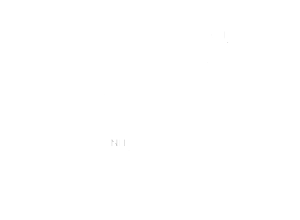 C=C1/C=C\C2=C(C=CCC2)C=C(C(N)c2ccccc2)CC1